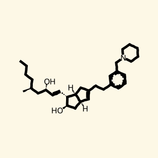 CCCC[C@H](C)C[C@H](O)/C=C/[C@@H]1[C@H]2CC(CCc3cccc(CN4CCCCC4)c3)=C[C@H]2C[C@H]1O